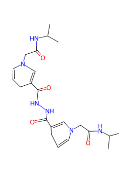 CC(C)NC(=O)CN1C=CCC(C(=O)NNC(=O)C2=CN(CC(=O)NC(C)C)C=CC2)=C1